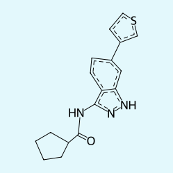 O=C(Nc1n[nH]c2cc(-c3ccsc3)ccc12)C1CCCC1